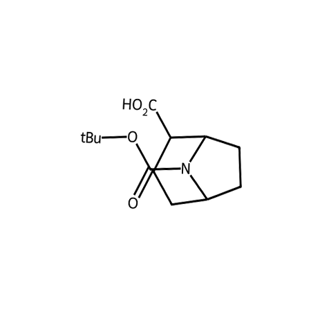 CC(C)(C)OC(=O)N1C2CCC(C(=O)O)C1CC2